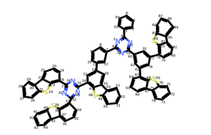 c1ccc(-c2nc(-c3cccc(-c4cc(-c5nc(-c6cccc7c6sc6ccccc67)nc(-c6cccc7c6sc6ccccc67)n5)c5sc6ccccc6c5c4)c3)nc(-c3cc(-c4cccc5c4sc4ccccc45)cc(-c4cccc5c4sc4ccccc45)c3)n2)cc1